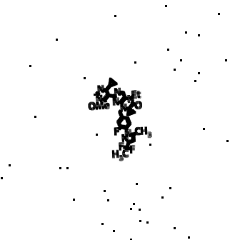 CCN1C(=O)C2(CC2)N(Cc2ccc(-n3nc(C(C)(F)F)cc3C)c(F)c2)c2nc(-c3c(OC)ncnc3C3CC3)ncc21